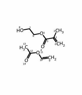 C=C(C)C(=O)OCCO.C=COC(C)=O